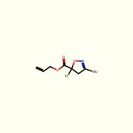 C=CCOC(=O)C1(CC)CC(C(C)(C)C)=NO1